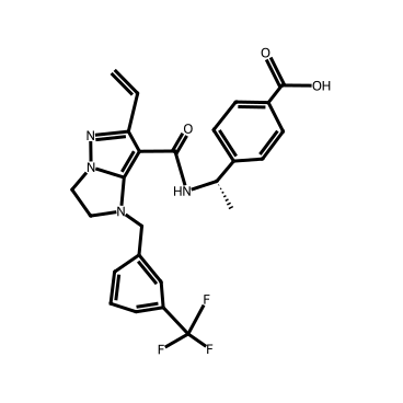 C=Cc1nn2c(c1C(=O)N[C@@H](C)c1ccc(C(=O)O)cc1)N(Cc1cccc(C(F)(F)F)c1)CC2